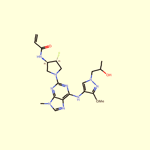 C=CC(=O)N[C@@H]1CN(c2nc(Nc3cn(CC(C)O)nc3OC)c3ncn(C)c3n2)C[C@H]1F